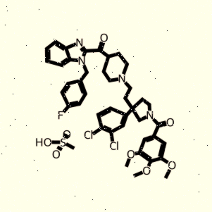 COc1cc(C(=O)N2CCC(CCN3CCC(C(=O)c4nc5ccccc5n4Cc4ccc(F)cc4)CC3)(c3ccc(Cl)c(Cl)c3)C2)cc(OC)c1OC.CS(=O)(=O)O